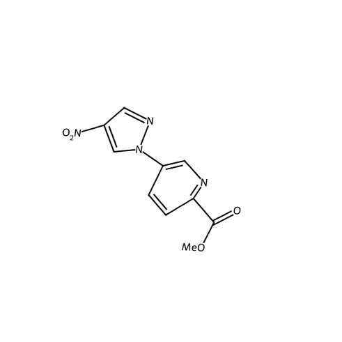 COC(=O)c1ccc(-n2cc([N+](=O)[O-])cn2)cn1